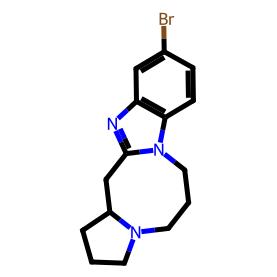 Brc1ccc2c(c1)nc1n2CCCN2CCCC2C1